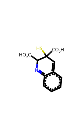 O=C(O)C1N=c2ccccc2=CC1(S)C(=O)O